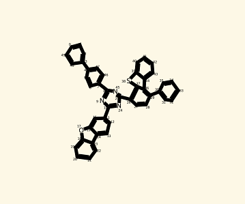 c1ccc(-c2ccc(-c3nc(-c4ccc5c(c4)oc4ccccc45)nc(-c4ccc(-c5ccccc5)c5c4sc4ccccc45)n3)cc2)cc1